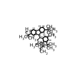 C=CCOc1c(C(C[SiH2]C)C2c3cc(C(C)(C)C)ccc3-c3ccc(C(C)(C)C)cc32)cc(C)cc1C(C)(C)C